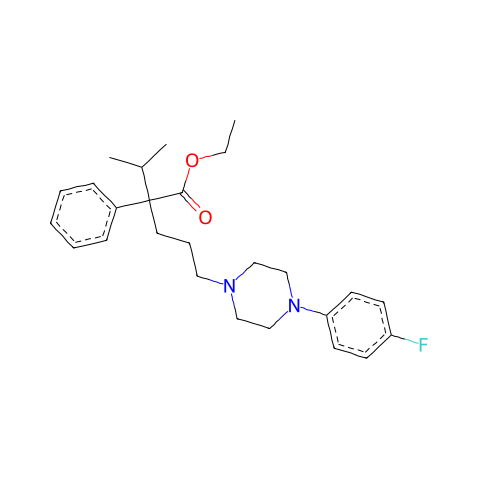 CCOC(=O)C(CCCN1CCN(c2ccc(F)cc2)CC1)(c1ccccc1)C(C)C